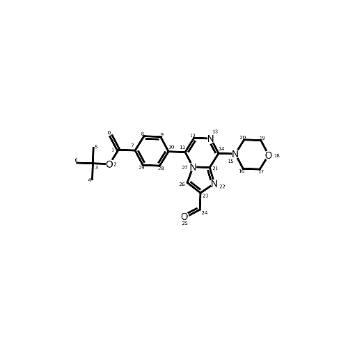 C=C(OC(C)(C)C)c1ccc(-c2cnc(N3CCOCC3)c3nc(C=O)cn23)cc1